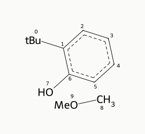 CC(C)(C)c1ccccc1O.COC